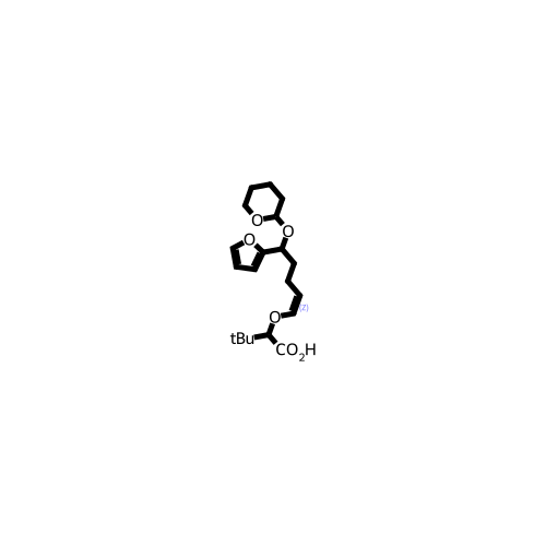 CC(C)(C)C(O/C=C\CCC(OC1CCCCO1)c1ccco1)C(=O)O